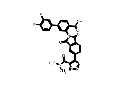 CN(C)C(=O)c1[nH]nnc1-c1ccc2c(c1)C(=O)N(c1cc(-c3ccc(F)c(F)c3)ccc1C(=O)O)C2=O